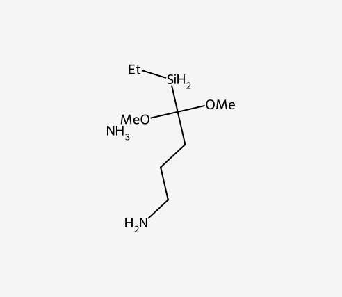 CC[SiH2]C(CCCN)(OC)OC.N